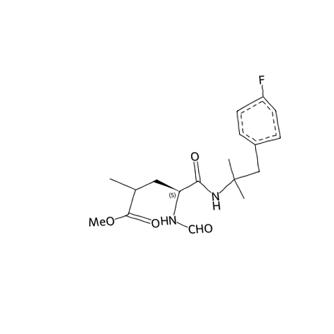 COC(=O)C(C)C[C@H](NC=O)C(=O)NC(C)(C)Cc1ccc(F)cc1